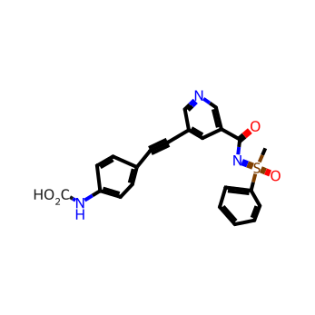 CS(=O)(=NC(=O)c1cncc(C#Cc2ccc(NC(=O)O)cc2)c1)c1ccccc1